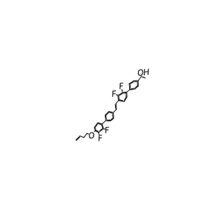 C=CCCOc1ccc(-c2ccc(/C=C/c3ccc(-c4ccc(C(C)O)cc4)c(F)c3F)cc2)c(F)c1F